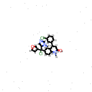 Cn1cncc1C(Cl)(c1ccoc1)c1ccc2c(c1)c(-c1cccc(Cl)c1)cc(=O)n2C